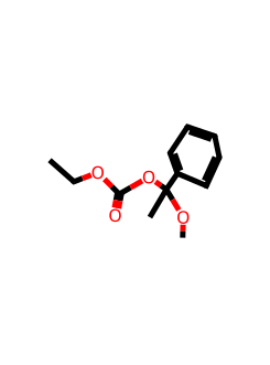 CCOC(=O)OC(C)(OC)c1ccccc1